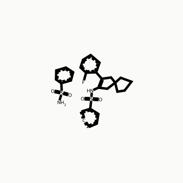 NS(=O)(=O)c1ccccc1.O=S(=O)(NC1=C(c2ccccc2F)CC2(CCCC2)C1)c1ccccc1